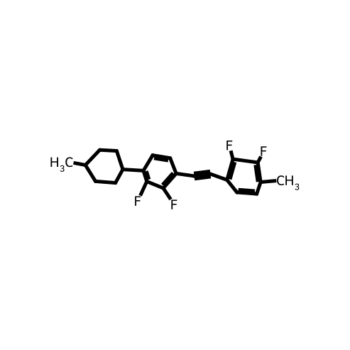 Cc1ccc(C#Cc2ccc(C3CCC(C)CC3)c(F)c2F)c(F)c1F